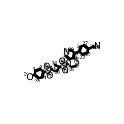 COc1ccc(S(=O)(=O)N2CC(S(=O)(=O)N3CCSc4c(-c5ccc(C#N)cc5)cncc43)C2)cc1